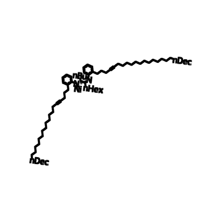 CCCCCCCCCCCCCCCCCCCCCCCC#CCCCc1ccccc1N=C(CCCCCC)C(CCCC)=[N+]([Ni])c1ccccc1CCCC#CCCCCCCCCCCCCCCCCCCCCCCC